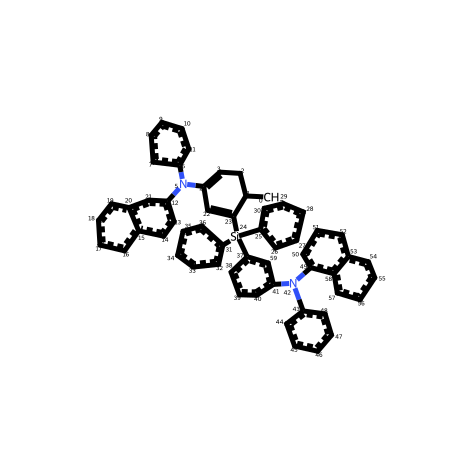 CC1CC=C(N(c2ccccc2)c2ccc3ccccc3c2)C=C1[Si](c1ccccc1)(c1ccccc1)c1cccc(N(c2ccccc2)c2cccc3ccccc23)c1